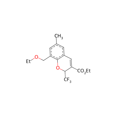 CCOCc1cc(C)cc2c1OC(C(F)(F)F)C(C(=O)OCC)=C2